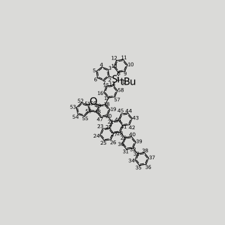 CC(C)(C)[Si](c1ccccc1)(c1ccccc1)c1ccc(-c2cc(-c3c4ccccc4c(-c4ccc(-c5ccccc5)cc4)c4ccccc34)cc3c2oc2ccccc23)cc1